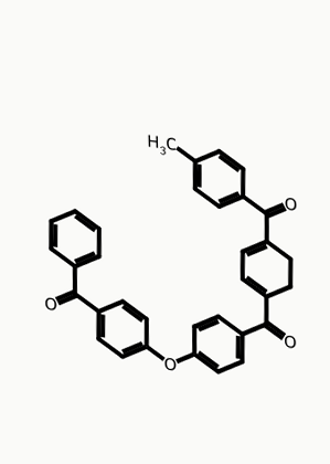 Cc1ccc(C(=O)C2=CC=C(C(=O)c3ccc(Oc4ccc(C(=O)c5ccccc5)cc4)cc3)CC2)cc1